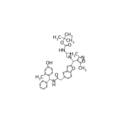 Cc1cc(O)ccc1C(NC(=O)Cc1ccc2oc(C(c3c(C)noc3C)N3CC(NC(=O)OC(C)(C)C)C3)cc2c1)c1ccccc1